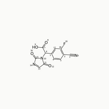 N#Cc1ccc(C(C(=O)O)N2C(=O)C=NC2=O)cc1F